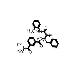 [CH2]C[C@H](C(=O)Nc1ccccc1C)[C@@H](Cc1ccccc1)NC(=O)c1cccc(C(=O)N(CCC)CCC)c1